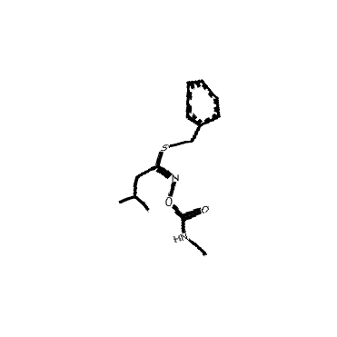 CNC(=O)ON=C(CC(C)C)SCc1ccccc1